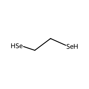 [SeH]CC[SeH]